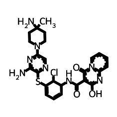 CC1(N)CCN(c2cnc(SC3=CC=CC(NC(=O)c4c(O)nc5ccccn5c4=O)C3Cl)c(N)n2)CC1